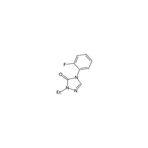 CCn1ncn(-c2ccccc2F)c1=O